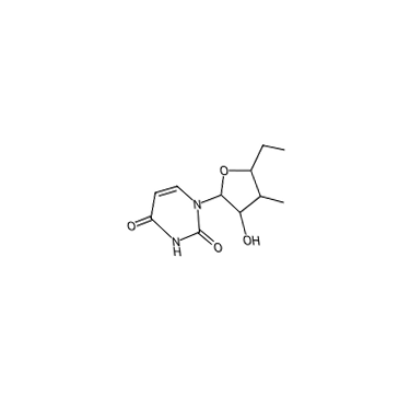 CCC1OC(n2ccc(=O)[nH]c2=O)C(O)C1C